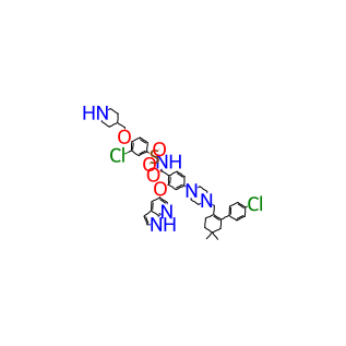 CC1(C)CCC(CN2CCN(c3ccc(C(=O)NS(=O)(=O)c4ccc(OCC5CCNCC5)c(Cl)c4)c(Oc4cnc5[nH]ccc5c4)c3)CC2)=C(c2ccc(Cl)cc2)C1